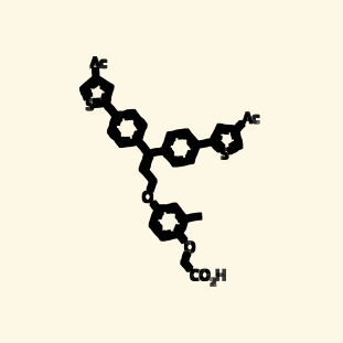 CC(=O)c1csc(-c2ccc(C(=CCOc3ccc(OCC(=O)O)c(C)c3)c3ccc(-c4cc(C(C)=O)cs4)cc3)cc2)c1